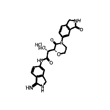 Cl.N=C1NCc2cc(NC(=O)[C@H](O)[C@H]3OCCN(c4ccc5c(c4)C(=O)NC5)C3=O)ccc21